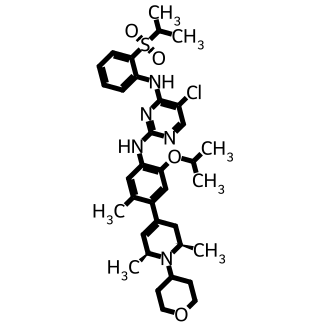 Cc1cc(Nc2ncc(Cl)c(Nc3ccccc3S(=O)(=O)C(C)C)n2)c(OC(C)C)cc1C1=C[C@H](C)N(C2CCOCC2)[C@H](C)C1